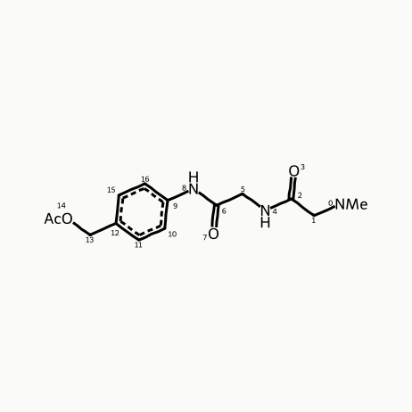 CNCC(=O)NCC(=O)Nc1ccc(COC(C)=O)cc1